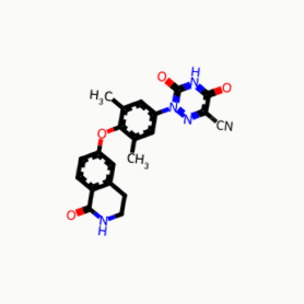 Cc1cc(-n2nc(C#N)c(=O)[nH]c2=O)cc(C)c1Oc1ccc2c(c1)CCNC2=O